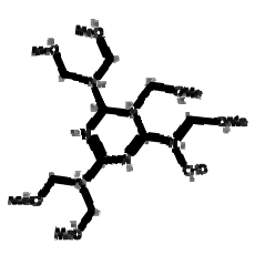 COCN(C=O)C1=NC(N(COC)COC)=NC(N(COC)COC)N1COC